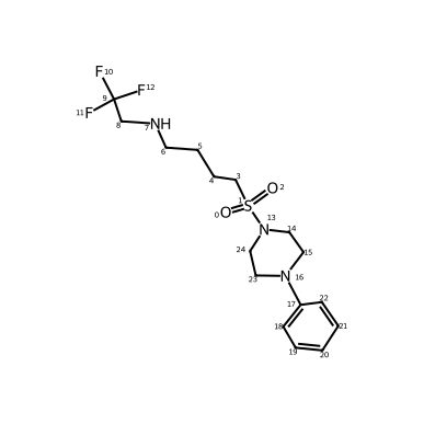 O=S(=O)(CCCCNCC(F)(F)F)N1CCN(c2ccccc2)CC1